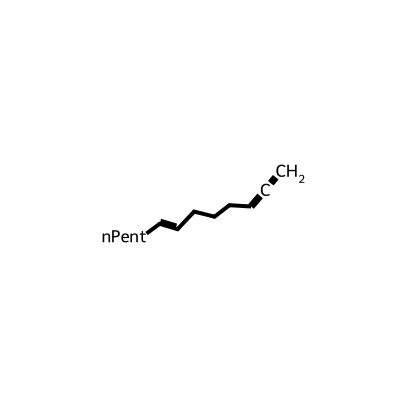 C=C=CCCCC=CCCCCC